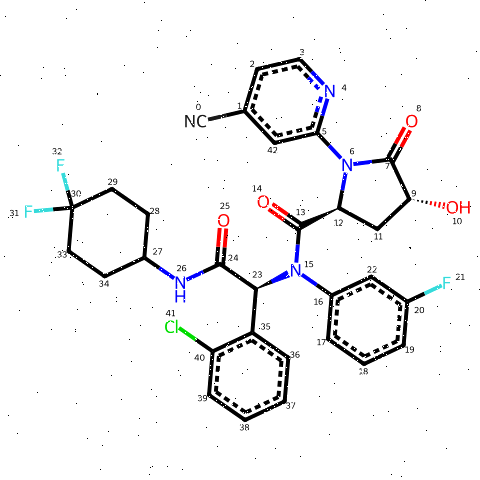 N#Cc1ccnc(N2C(=O)[C@H](O)C[C@H]2C(=O)N(c2cccc(F)c2)[C@H](C(=O)NC2CCC(F)(F)CC2)c2ccccc2Cl)c1